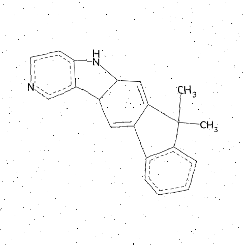 CC1(C)C2=CC3Nc4ccncc4C3C=C2c2ccccc21